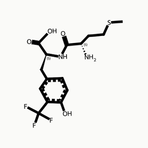 CSCC[C@H](N)C(=O)N[C@@H](Cc1ccc(O)c(C(F)(F)F)c1)C(=O)O